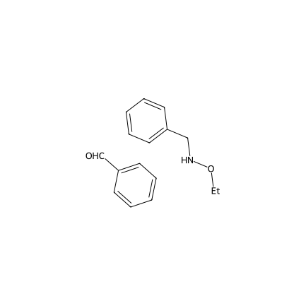 CCONCc1ccccc1.O=Cc1ccccc1